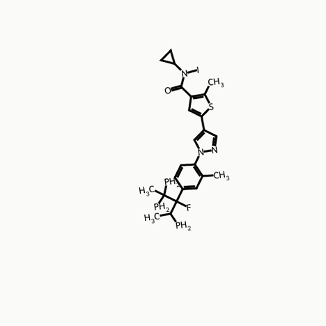 Cc1cc(C(F)(C(C)P)C(C)(P)P)ccc1-n1cc(-c2cc(C(=O)N(I)C3CC3)c(C)s2)cn1